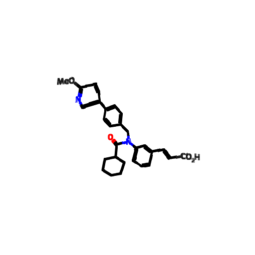 COc1ccc(-c2ccc(CN(C(=O)C3CCCCC3)c3cccc(/C=C/C(=O)O)c3)cc2)cn1